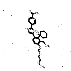 CCc1c(OCOCCOC)ccc(-c2cnc(-c3ccc(C(=O)O)cc3)s2)c1C1(C)CCCCC1